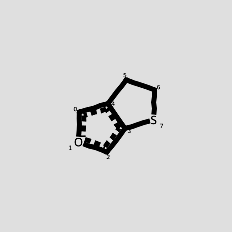 c1occ2c1CCS2